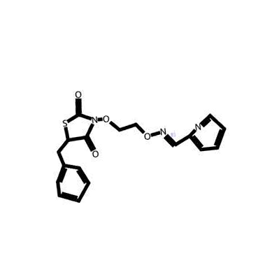 O=C1SC(Cc2ccccc2)C(=O)N1OCCO/N=C/c1ccccn1